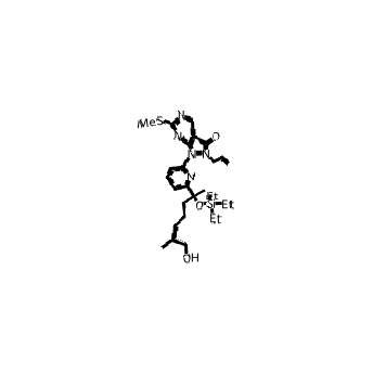 C=CCn1c(=O)c2cnc(SC)nc2n1-c1cccc(C(C)(CC/C=C(/C)CO)O[Si](CC)(CC)CC)n1